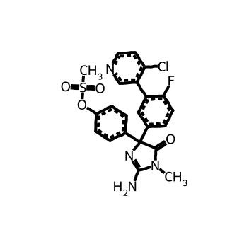 CN1C(=O)C(c2ccc(OS(C)(=O)=O)cc2)(c2ccc(F)c(-c3cnccc3Cl)c2)N=C1N